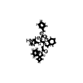 O=C(CN(CC1CCCCC1)C(=O)[C@H](Cc1c[nH]cn1)NC(=O)OCc1ccccc1)NCC1(c2ccccc2)CCC1